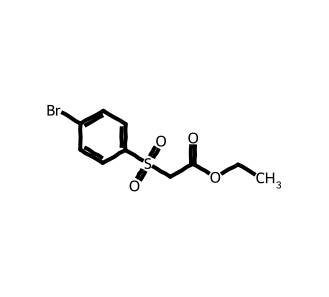 CCOC(=O)CS(=O)(=O)c1ccc(Br)cc1